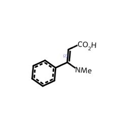 CN/C(=C\C(=O)O)c1ccccc1